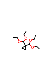 CCOC(OCC)C1(C(OCC)OCC)CC1